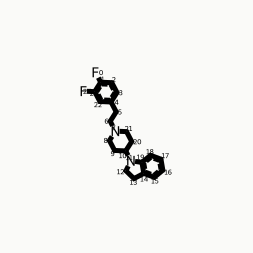 Fc1ccc(CCN2CCC(N3CCc4ccccc43)CC2)cc1F